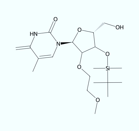 C=C1NC(=O)N([C@H]2O[C@H](CO)C(O[Si](C)(C)C(C)(C)C)C2OCCOC)C=C1C